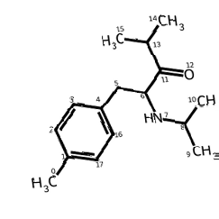 Cc1ccc(CC(NC(C)C)C(=O)C(C)C)cc1